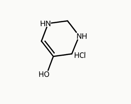 Cl.OC1=CNCNC1